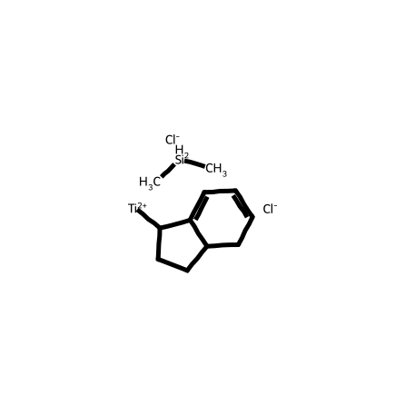 C[SiH2]C.[Cl-].[Cl-].[Ti+2][CH]1CCC2CC=CC=C12